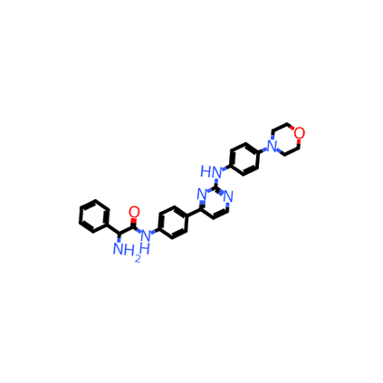 NC(C(=O)Nc1ccc(-c2ccnc(Nc3ccc(N4CCOCC4)cc3)n2)cc1)c1ccccc1